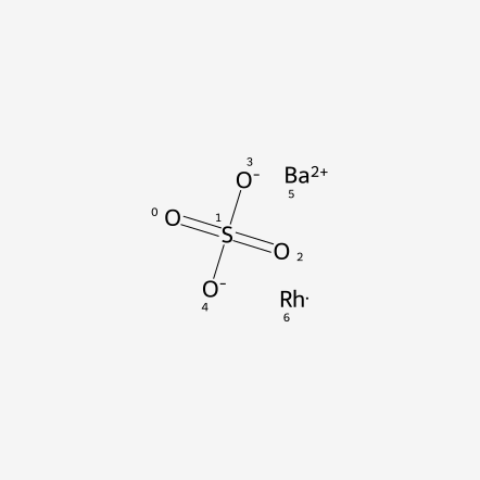 O=S(=O)([O-])[O-].[Ba+2].[Rh]